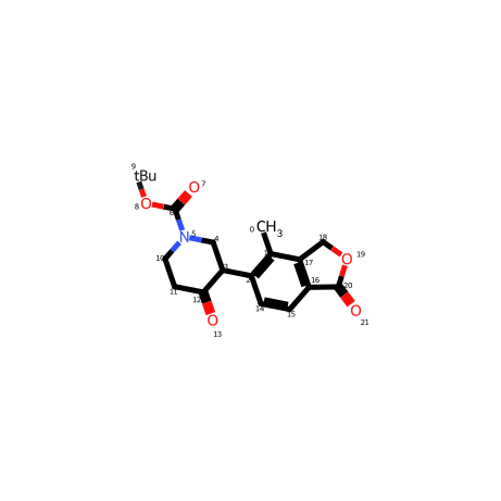 Cc1c(C2CN(C(=O)OC(C)(C)C)CCC2=O)ccc2c1COC2=O